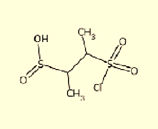 CC(C(C)S(=O)(=O)Cl)S(=O)O